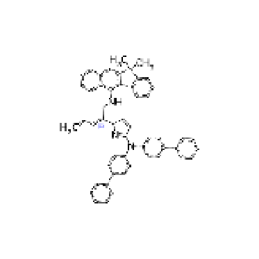 C=C/C=C(\CNc1c2c(cc3ccccc13)C(C)(C)c1ccccc1-2)C1C=CC(N(c2ccc(-c3ccccc3)cc2)c2ccc(-c3ccccc3)cc2)=N1